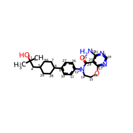 CC(C)(O)CC1CCC(c2ccc(N3CCOc4ncnc(N)c4C3=O)cc2)CC1